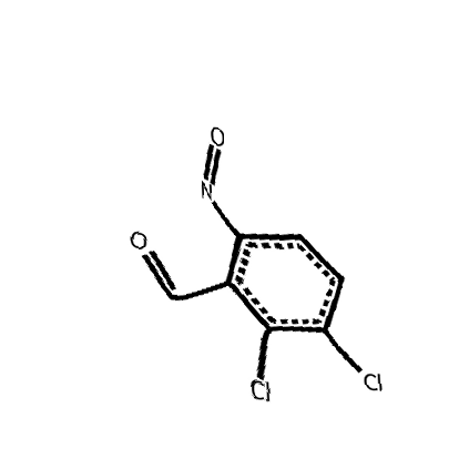 O=Cc1c(N=O)ccc(Cl)c1Cl